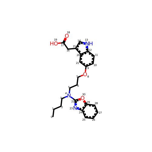 CCCCN(CCCOc1ccc2[nH]cc(CC(=O)O)c2c1)c1nc2ccccc2o1